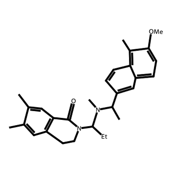 CCC(N1CCc2cc(C)c(C)cc2C1=O)N(C)C(C)c1ccc2c(C)c(OC)ccc2c1